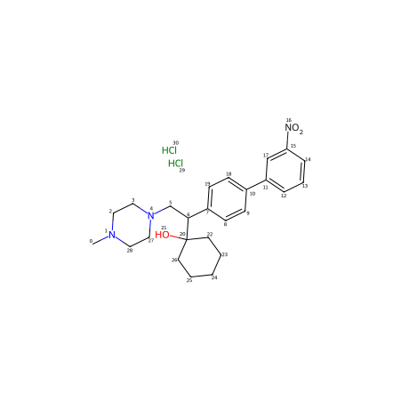 CN1CCN(CC(c2ccc(-c3cccc([N+](=O)[O-])c3)cc2)C2(O)CCCCC2)CC1.Cl.Cl